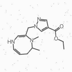 CCOC(=O)c1cnn(C/C2=C/N/C=C\CC(C)N2C)c1